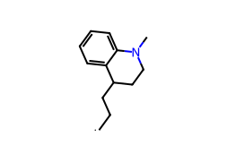 [CH2]CCC1CCN(C)c2ccccc21